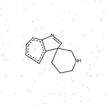 C1=Nc2ccccc2C12CCCNC2